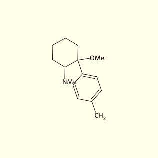 CNC1CCCCC1(OC)c1ccc(C)cc1